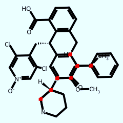 COc1ccc([C@H](Cc2c(Cl)c[n+]([O-])cc2Cl)c2c(CNC(C(=O)O[C@H]3CN4CCC3CC4)c3ccccc3)cccc2C(=O)O)cc1OC